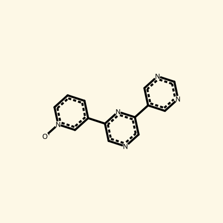 [O-][n+]1cccc(-c2cncc(-c3cncnc3)n2)c1